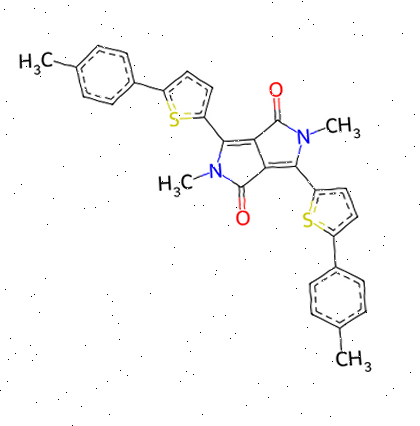 Cc1ccc(-c2ccc(C3=C4C(=O)N(C)C(c5ccc(-c6ccc(C)cc6)s5)=C4C(=O)N3C)s2)cc1